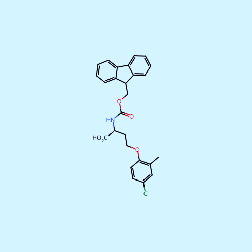 Cc1cc(Cl)ccc1OCC[C@H](NC(=O)OCC1c2ccccc2-c2ccccc21)C(=O)O